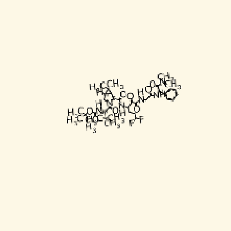 CN(C)C(=O)[C@@H](NC(=O)CNC(=O)C(=O)C(CCC(F)F)NC(=O)[C@@H]1C2[C@H](CN1C(=O)[C@@H](NC(=O)OC(C)(C)C)C(C)(C)C)C2(C)C)c1ccccc1